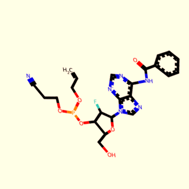 C=CCOP(OCCC#N)OC1C(CO)OC(n2cnc3c(NC(=O)c4ccccc4)ncnc32)C1F